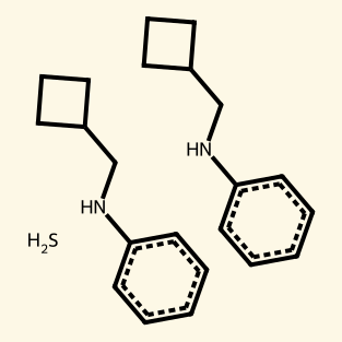 S.c1ccc(NCC2CCC2)cc1.c1ccc(NCC2CCC2)cc1